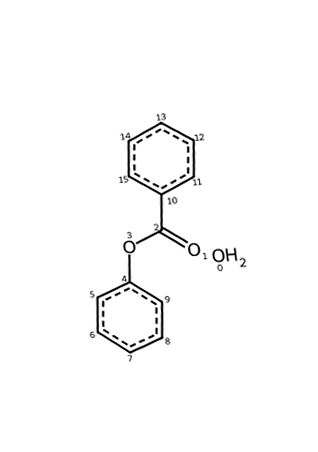 O.O=C(Oc1ccccc1)c1ccccc1